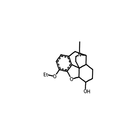 CCOc1ccc2c3c1OC1C(O)CCC4C(C2)N(C)CCC341